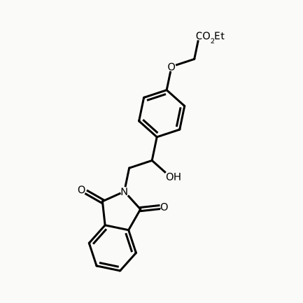 CCOC(=O)COc1ccc(C(O)CN2C(=O)c3ccccc3C2=O)cc1